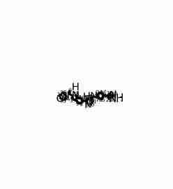 C=C(c1cc2ccc(-c3nccc(Nc4ccc(-c5cn[nH]c5)cc4)n3)cc2[nH]1)N1CCOCC1